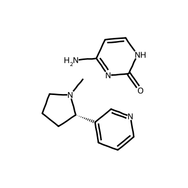 CN1CCC[C@H]1c1cccnc1.Nc1cc[nH]c(=O)n1